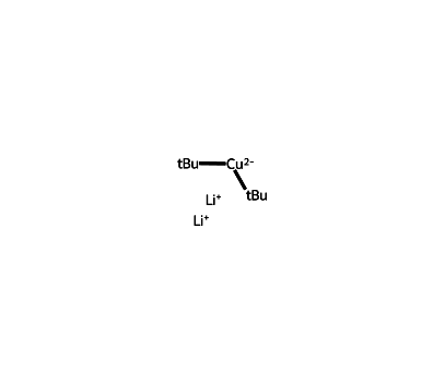 C[C](C)(C)[Cu-2][C](C)(C)C.[Li+].[Li+]